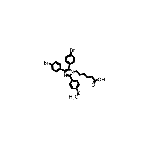 COc1ccc(-c2nc(-c3ccc(Br)cc3)c(-c3ccc(Br)cc3)n2CCCCCC(=O)O)cc1